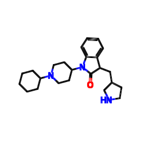 O=C1C(CC2CCNC2)c2ccccc2N1C1CCN(C2CCCCC2)CC1